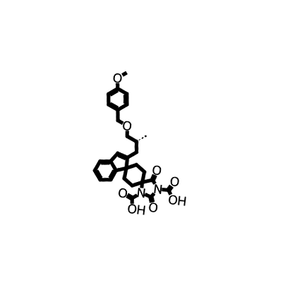 COc1ccc(COC[C@H](C)CC2=Cc3ccccc3C23CCC2(CC3)C(=O)N(C(=O)O)C(=O)N2C(=O)O)cc1